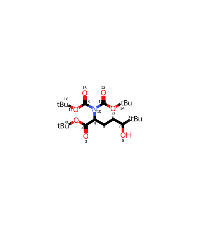 CC(C)(C)OC(=O)C(CCC(O)C(C)(C)C)N(C(=O)OC(C)(C)C)C(=O)OC(C)(C)C